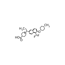 CCC(c1ccc2c(C(F)F)c(O[C@H]3CC[C@@H](C)CC3)ccc2c1)N1CCC(C(=O)O)CC1